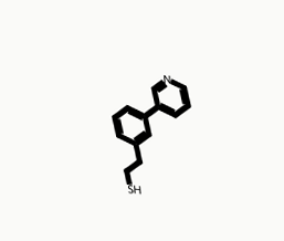 SCCc1cccc(-c2cccnc2)c1